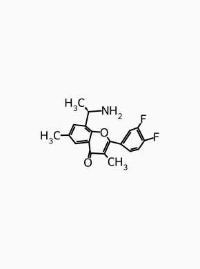 Cc1cc([C@@H](C)N)c2oc(-c3ccc(F)c(F)c3)c(C)c(=O)c2c1